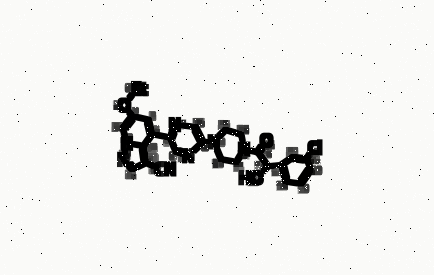 CCOc1cc(-c2cnc(N3CCN(C(=O)C(O)c4cccc(Cl)c4)CC3)cn2)c2c(C#N)cnn2c1